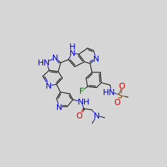 CN(C)CC(=O)Nc1cncc(-c2cc3c(-c4cc5c(-c6cc(F)cc(CNS(C)(=O)=O)c6)nccc5[nH]4)n[nH]c3cn2)c1